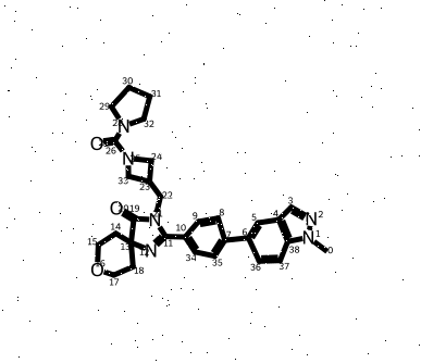 Cn1ncc2cc(-c3ccc(C4=NC5(CCOCC5)C(=O)N4CC4CN(C(=O)N5CCCC5)C4)cc3)ccc21